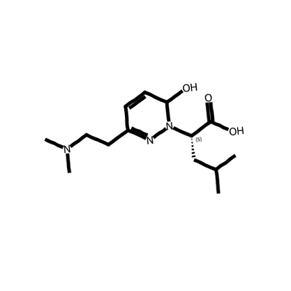 CC(C)C[C@@H](C(=O)O)N1N=C(CCN(C)C)C=CC1O